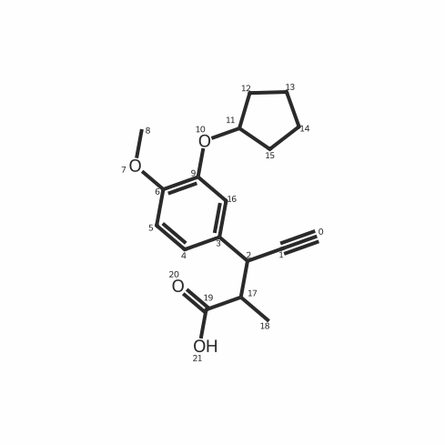 C#CC(c1ccc(OC)c(OC2CCCC2)c1)C(C)C(=O)O